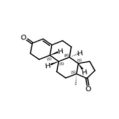 C[C@]12CC[C@H]3[C@@H](CCC4=CC(=O)CC[C@H]43)[C@@H]1CCC2=O